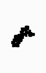 COCC1=CC(=NOS(=O)(=O)c2ccccc2)C=CC1=O